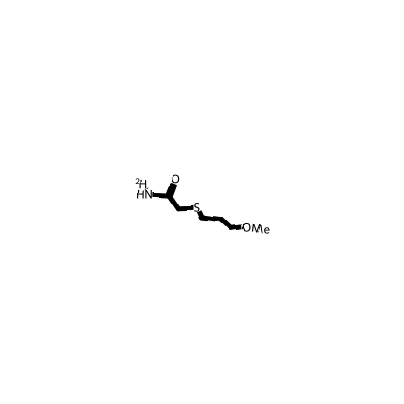 [2H]NC(=O)CSCCCOC